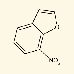 O=[N+]([O-])c1cccc2[c]coc12